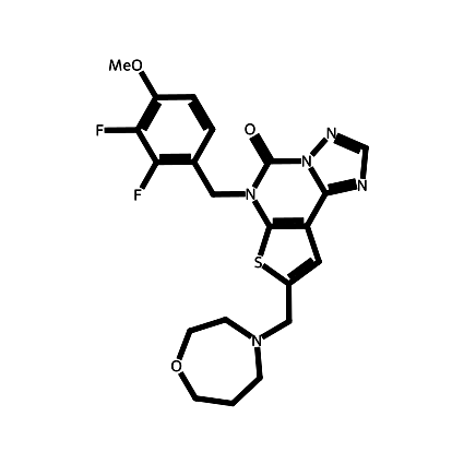 COc1ccc(Cn2c(=O)n3ncnc3c3cc(CN4CCCOCC4)sc32)c(F)c1F